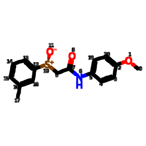 COc1ccc(NC(=O)C[S@+]([O-])c2cccc(C)c2)cc1